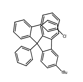 CC(C)(C)c1ccc2c(c1)-c1ccccc1C2(c1ccccc1)c1ccccc1-c1cccc(Cl)c1